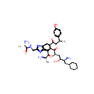 CC[C@H](C)[C@H](N)C(=O)NCc1nc2c(C(=O)[C@@H](N)C(C)C)c(C(=O)C(C[C@H](O)[C@@H](N)CC3CCCCC3)C(C)C)c(C(=O)CC(C)c3ccc(O)cc3)cc2[nH]1